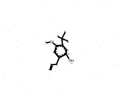 C=CCc1cc(OC)c(C(C)(C)C)cc1O